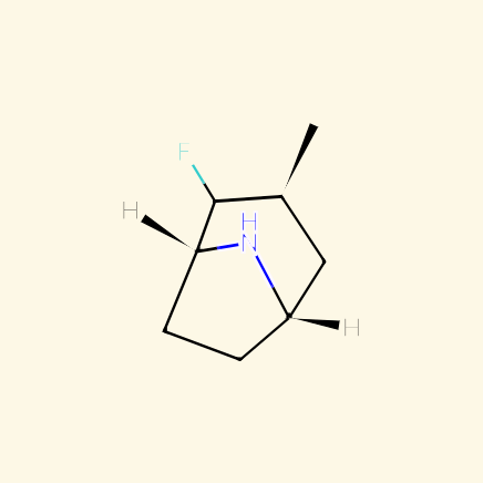 C[C@H]1C[C@@H]2CC[C@@H](N2)C1F